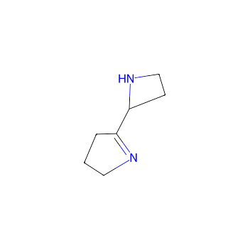 C1CN=C(C2CCN2)C1